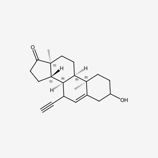 C#CC1C=C2CC(O)CC[C@]2(C)[C@@H]2CC[C@]3(C)C(=O)CC[C@H]3[C@H]12